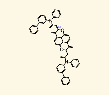 C=C1C2=CC=C3OC(CC(=C)N(c4ccccc4)C4C=C(c5ccccc5)C=CC4)C(=C)C4=CC=C(O/C1=C/C(=C)N(c1ccccc1)c1cccc(-c5ccccc5)c1)C2C34